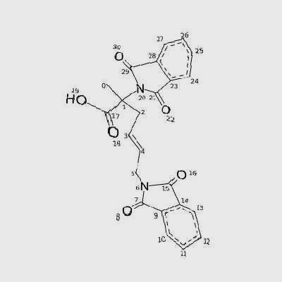 CC(CC=CCN1C(=O)c2ccccc2C1=O)(C(=O)O)N1C(=O)c2ccccc2C1=O